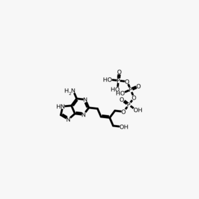 Nc1nc(CC=C(CO)COP(=O)(O)OP(=O)(O)OP(=O)(O)O)nc2nc[nH]c12